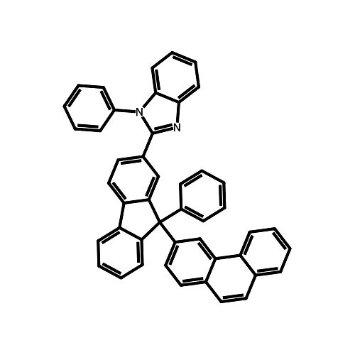 c1ccc(-n2c(-c3ccc4c(c3)C(c3ccccc3)(c3ccc5ccc6ccccc6c5c3)c3ccccc3-4)nc3ccccc32)cc1